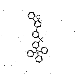 CC1(C)c2cc(-c3ccc4oc5ccccc5c4c3)ccc2-c2ccc([Si](c3ccccc3)(c3ccccc3)c3ccccc3)cc21